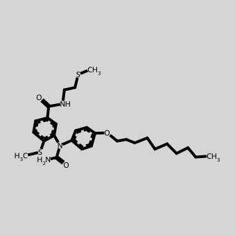 CCCCCCCCCCOc1ccc(N(C(N)=O)c2cc(C(=O)NCCSC)ccc2SC)cc1